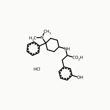 CN(C)C1(c2ccccc2)CCC(NC(Cc2cccc(O)c2)C(=O)O)CC1.Cl